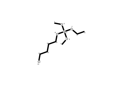 CCO[Si](OC)(OC)OCCCCCl